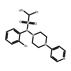 CCCC(CC)S(=O)(=O)N(c1ccccc1C(C)=O)N1CCN(c2ccncc2)CC1